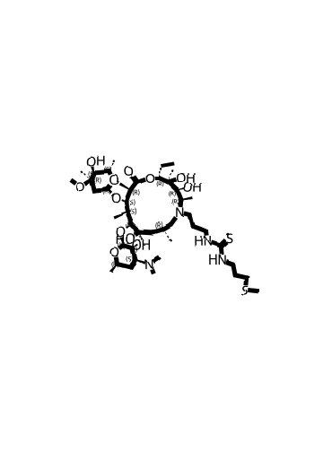 CC[C@H]1OC(=O)[C@H](C)[C@@H](O[C@H]2C[C@@](C)(OC)[C@@H](O)[C@H](C)O2)[C@H](C)[C@@H](O[C@@H]2O[C@H](C)C[C@H](N(C)C)[C@H]2O)[C@](C)(O)C[C@@H](C)CN(CCCNC(=S)NCCCSC)[C@H](C)[C@@H](O)[C@]1(C)O